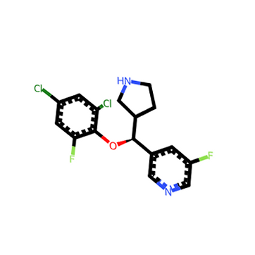 Fc1cncc([C@@H](Oc2c(F)cc(Cl)cc2Cl)C2CCNC2)c1